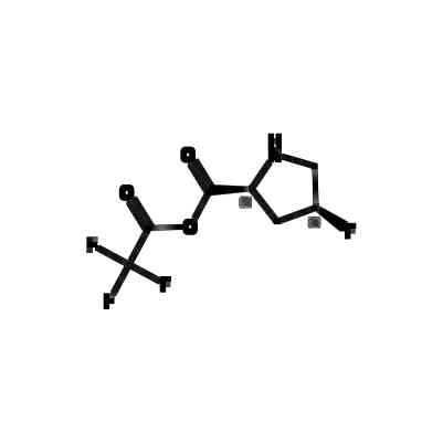 O=C(OC(=O)C(F)(F)F)[C@@H]1C[C@H](F)CN1